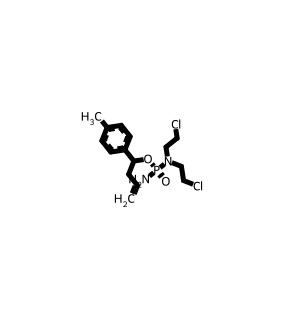 C=CCC(OP(N)(=O)N(CCCl)CCCl)c1ccc(C)cc1